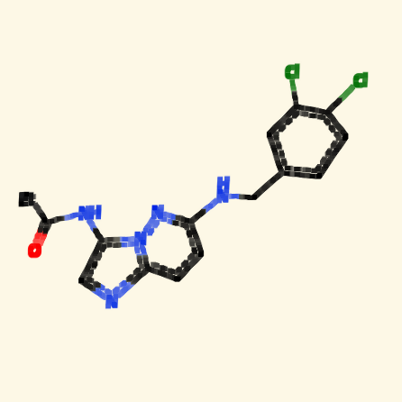 CCC(=O)Nc1cnc2ccc(NCc3ccc(Cl)c(Cl)c3)nn12